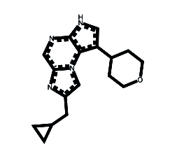 c1[nH]c2ncc3nc(CC4CC4)cn3c2c1C1CCOCC1